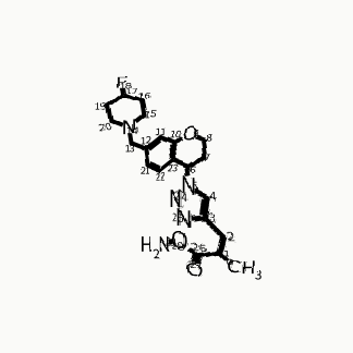 CC(Cc1cn(C2CCOc3cc(CN4CCC(F)CC4)ccc32)nn1)C(=O)ON